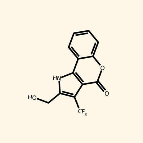 O=c1oc2ccccc2c2[nH]c(CO)c(C(F)(F)F)c12